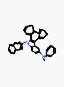 CN(c1ccccc1)c1ccc2c(c1)c1c3ccccc3c3ccccc3c1n2-c1ccc2ccccc2c1